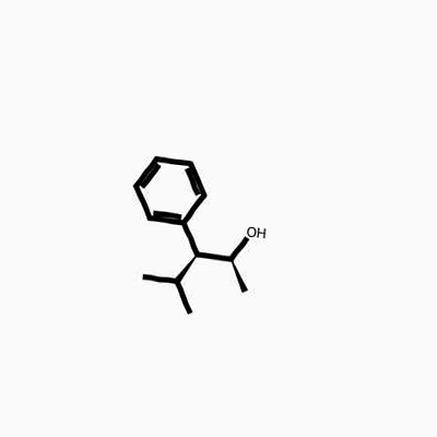 CC(C)[C@@H](c1ccccc1)[C@H](C)O